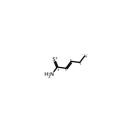 [C]CC=CC(N)=S